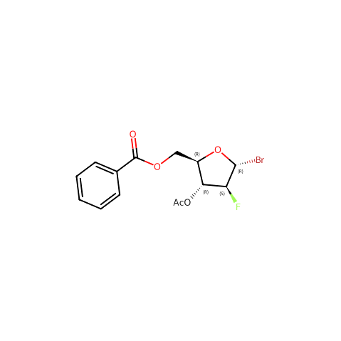 CC(=O)O[C@H]1[C@H](F)[C@@H](Br)O[C@@H]1COC(=O)c1ccccc1